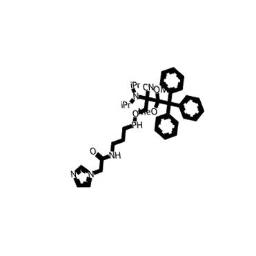 COC(OC)(C(c1ccccc1)(c1ccccc1)c1ccccc1)C(C#N)(COPCCCNC(=O)Cn1ccnc1)N(C(C)C)C(C)C